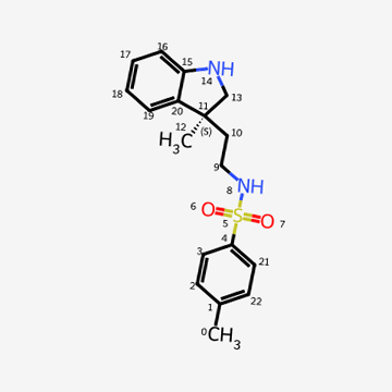 Cc1ccc(S(=O)(=O)NCC[C@]2(C)CNc3ccccc32)cc1